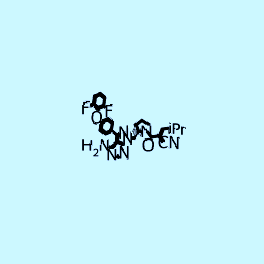 CC(C)C=C(C#N)C(=O)N1CCC[C@@H]1Cn1nc(-c2ccc(Oc3c(F)cccc3F)cc2)c2c(N)ncnc21